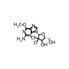 COc1nc(N)nc2c1ncn2[C@@H]1O[C@H](CO)C(O)C1(Cl)Cl